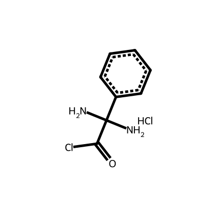 Cl.NC(N)(C(=O)Cl)c1ccccc1